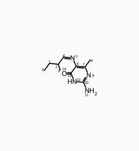 CCC(C)/C=N\c1c(C)nc(N)[nH]c1=O